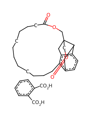 O=C(O)c1ccccc1C(=O)O.O=C1CCCCCCCCCCCc2c3ccc4c2CC(CO1)(COC3=O)C4